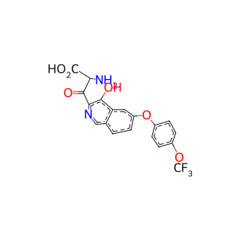 NC(C(=O)O)C(=O)c1ncc2ccc(Oc3ccc(OC(F)(F)F)cc3)cc2c1O